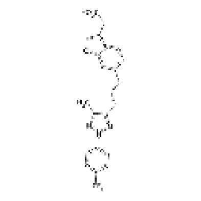 Cc1nn(-c2ccc(C(F)(F)F)cc2)nc1CCOc1ccc2c(CC(=O)O)coc2c1